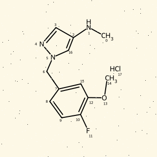 CNc1cnn(Cc2ccc(F)c(OC)c2)c1.Cl